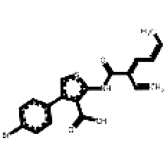 C=C/C(=C\C=C/C)C(=O)Nc1scc(-c2ccc(Br)cc2)c1C(=O)O